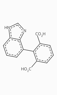 O=C(O)c1cccc(C(=O)O)c1-c1cccc2[nH]cnc12